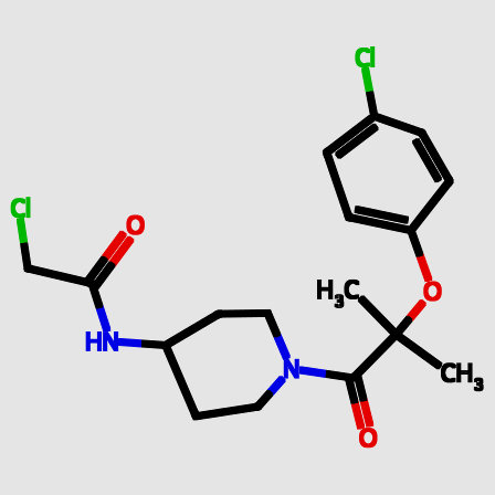 CC(C)(Oc1ccc(Cl)cc1)C(=O)N1CCC(NC(=O)CCl)CC1